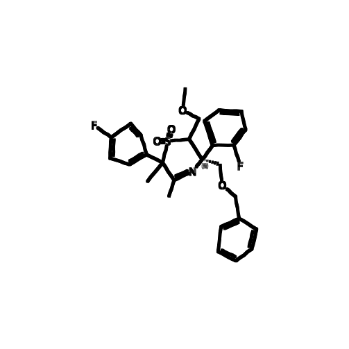 COCC1[C@@](COCc2ccccc2)(c2ccccc2F)N=C(C)C(C)(c2ccc(F)cc2)S1(=O)=O